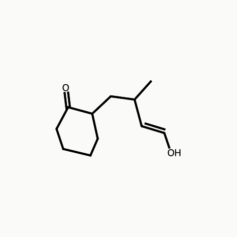 CC(C=CO)CC1CCCCC1=O